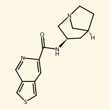 O=C(N[C@@H]1C[C@@H]2CCN(C2)C1)c1cc2cscc2cn1